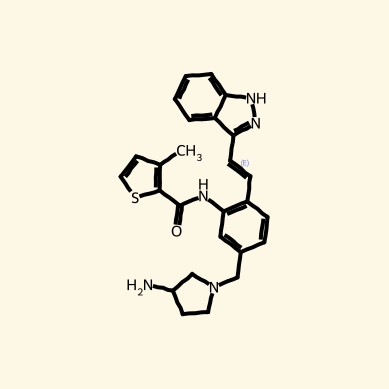 Cc1ccsc1C(=O)Nc1cc(CN2CCC(N)C2)ccc1/C=C/c1n[nH]c2ccccc12